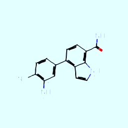 N#Cc1ccc(-c2ccc(C(N)=O)c3[nH]ccc23)cc1N